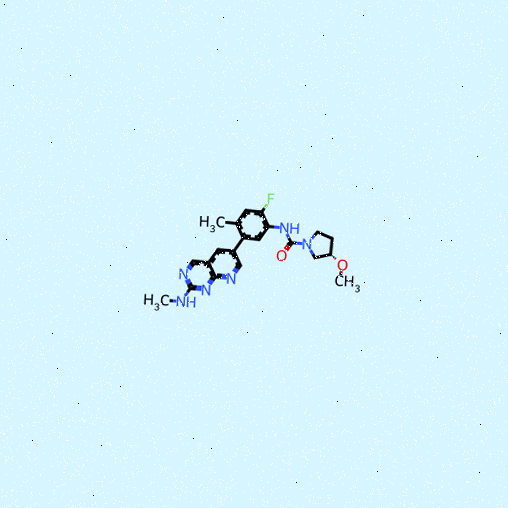 CNc1ncc2cc(-c3cc(NC(=O)N4CC[C@H](OC)C4)c(F)cc3C)cnc2n1